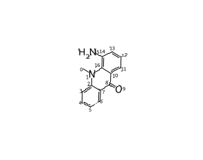 Cn1c2ccccc2c(=O)c2cccc(N)c21